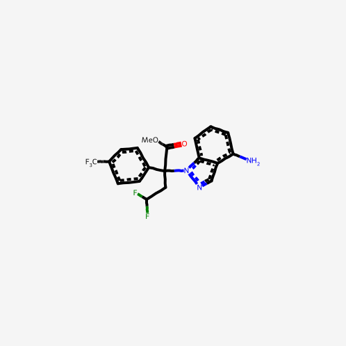 COC(=O)C(CC(F)F)(c1ccc(C(F)(F)F)cc1)n1ncc2c(N)cccc21